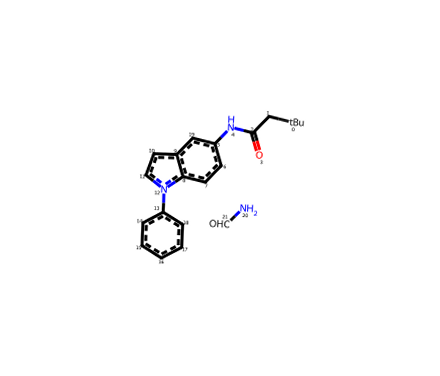 CC(C)(C)CC(=O)Nc1ccc2c(ccn2-c2ccccc2)c1.NC=O